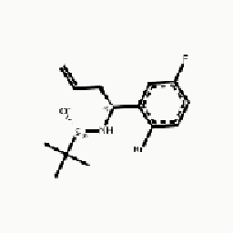 C=CC[C@H](N[S@@+]([O-])C(C)(C)C)c1cc(F)ccc1Br